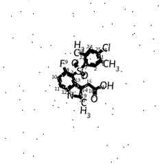 Cc1cc(S(=O)(=O)c2c(F)ccc3c2=C(CC(=O)O)C(C)N=3)c(C)cc1Cl